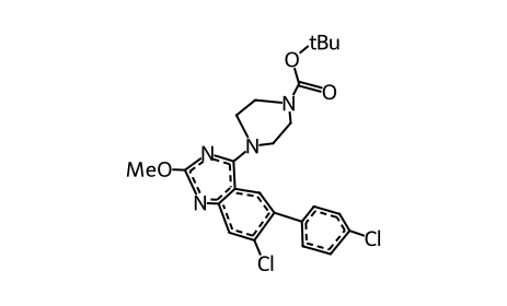 COc1nc(N2CCN(C(=O)OC(C)(C)C)CC2)c2cc(-c3ccc(Cl)cc3)c(Cl)cc2n1